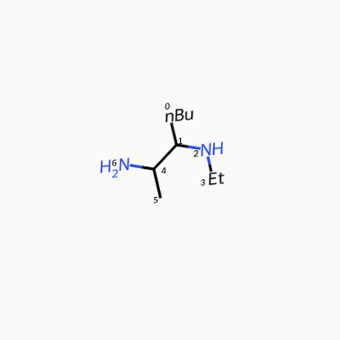 CCCCC(NCC)C(C)N